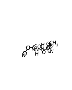 CS(=O)(=O)n1cc(C(=O)NCC(=O)Nc2nc(-c3cccc(-c4ccncc4)c3)cs2)c2ccncc21